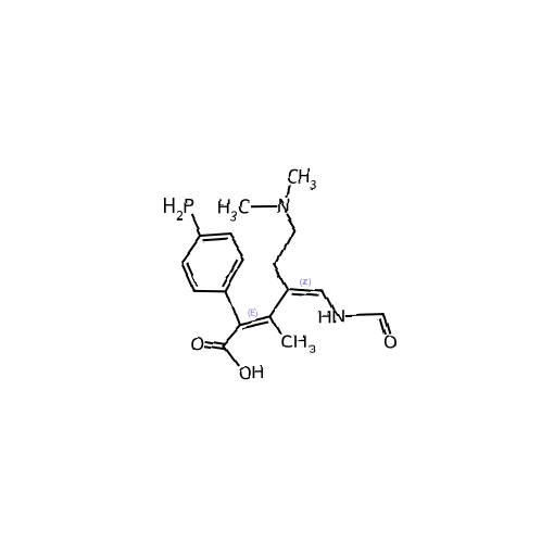 CC(/C(=C\NC=O)CCN(C)C)=C(\C(=O)O)c1ccc(P)cc1